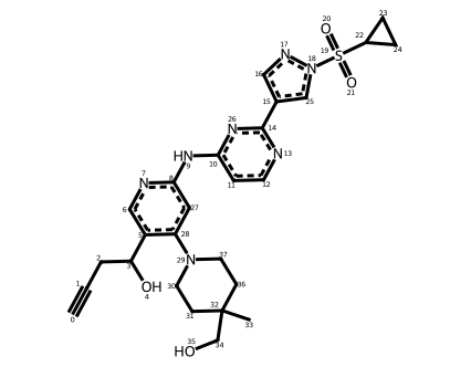 C#CCC(O)c1cnc(Nc2ccnc(-c3cnn(S(=O)(=O)C4CC4)c3)n2)cc1N1CCC(C)(CO)CC1